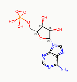 Nc1ncnc2c1ncn2[C@@H]1O[C@H](COP2(O)(O)OO2)[C@@H](O)[C@H]1O